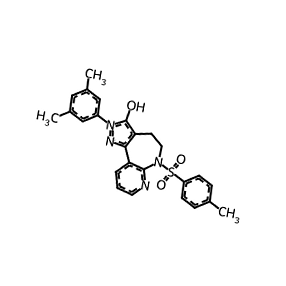 Cc1ccc(S(=O)(=O)N2CCc3c(nn(-c4cc(C)cc(C)c4)c3O)-c3cccnc32)cc1